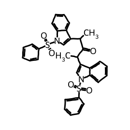 CC(C(=O)C(C)c1cn(S(=O)(=O)c2ccccc2)c2ccccc12)c1cn(S(=O)(=O)c2ccccc2)c2ccccc12